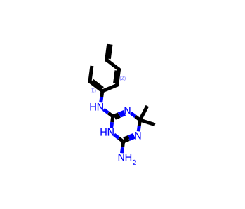 C=C/C=C\C(=C/C)NC1=NC(C)(C)N=C(N)N1